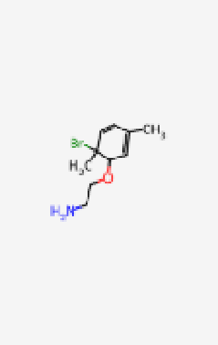 CC1=CC(OCCN)C(C)(Br)C=C1